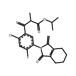 C=C1C2=C(CCCC2)C(=O)N1c1cc(C(=S)C(C)C(=O)OC(C)C)c(Cl)cc1F